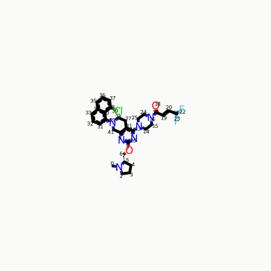 CN1CCC[C@H]1COc1nc2c(c(N3CCN(C(=O)/C=C/C(F)F)CC3)n1)CCN(c1cccc3cccc(Cl)c13)C2